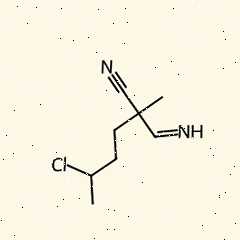 CC(Cl)CCC(C)(C#N)C=N